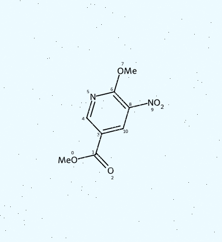 COC(=O)c1cnc(OC)c([N+](=O)[O-])c1